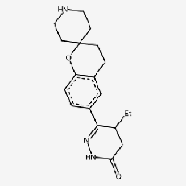 CCC1CC(=O)NN=C1c1ccc2c(c1)CCC1(CCNCC1)O2